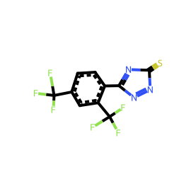 FC(F)(F)c1ccc(C2=NC(=S)N=N2)c(C(F)(F)F)c1